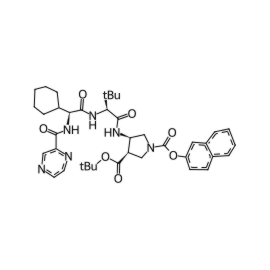 CC(C)(C)OC(=O)[C@@H]1CN(C(=O)Oc2ccc3ccccc3c2)C[C@@H]1NC(=O)[C@@H](NC(=O)[C@@H](NC(=O)c1cnccn1)C1CCCCC1)C(C)(C)C